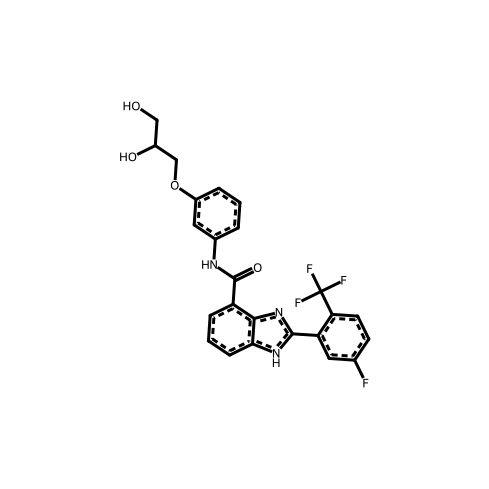 O=C(Nc1cccc(OCC(O)CO)c1)c1cccc2[nH]c(-c3cc(F)ccc3C(F)(F)F)nc12